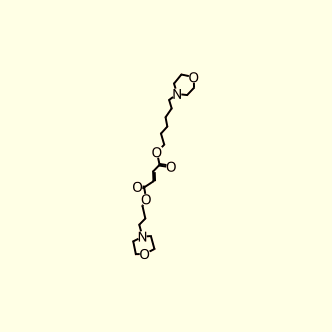 O=C(/C=C/C(=O)OCCCN1CCOCC1)OCCCCCCN1CCOCC1